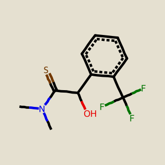 CN(C)C(=S)C(O)c1ccccc1C(F)(F)F